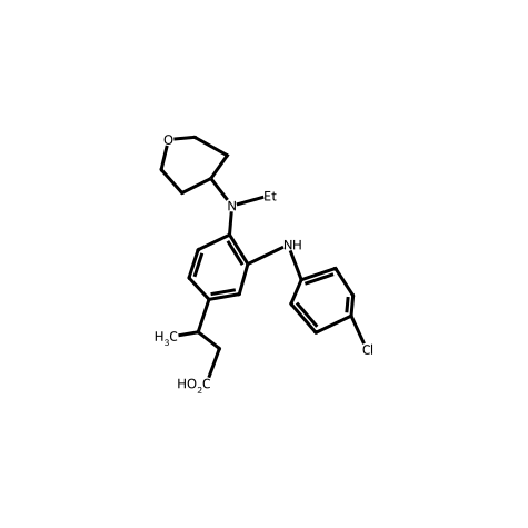 CCN(c1ccc(C(C)CC(=O)O)cc1Nc1ccc(Cl)cc1)C1CCOCC1